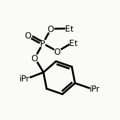 CCOP(=O)(OCC)OC1(C(C)C)C=CC(C(C)C)=CC1